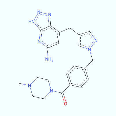 CN1CCN(C(=O)c2ccc(Cn3cc(Cc4cc(N)nc5[nH]nnc45)cn3)cc2)CC1